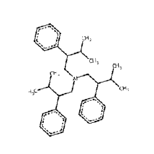 CC(C)C([CH2][Al]([CH2]C(c1ccccc1)C(C)C)[CH2]C(c1ccccc1)C(C)C)c1ccccc1